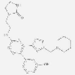 O=C1NCCN1CCNc1ncc(-c2cccc(O)c2)c(-c2ccc(CN3CCCCC3)s2)n1